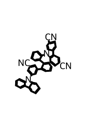 N#Cc1cc(-c2ccccc2-c2ccccc2-n2c3ccc(C#N)cc3c3ccc(C#N)cc32)cc(-n2c3ccccc3c3ccccc32)c1